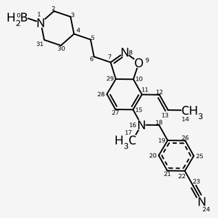 BN1CCC(CCC2=NOC3C(/C=C/C)=C(N(C)Cc4ccc(C#N)cc4)C=CC23)CC1